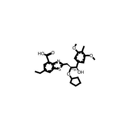 CCc1cc(C(=O)O)c2nc(C[C@H](OC3CCCC3)[C@H](O)c3cc(OC)c(C)c(OC)c3)sc2c1